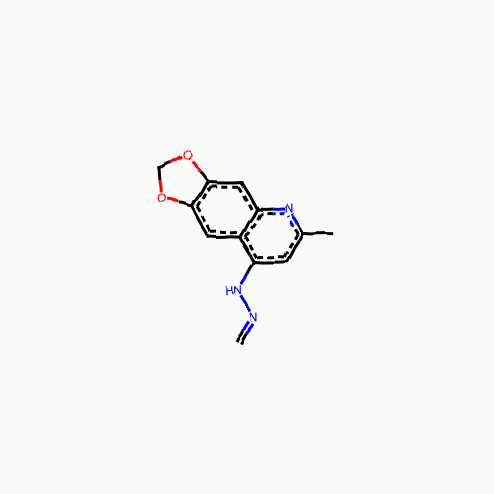 C=NNc1cc(C)nc2cc3c(cc12)OCO3